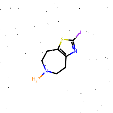 PN1CCc2nc(I)sc2CC1